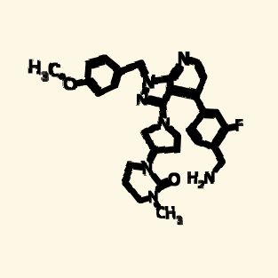 COc1ccc(Cn2nc(N3CCC(N4CCCN(C)C4=O)C3)c3c(-c4ccc(CN)c(F)c4)ccnc32)cc1